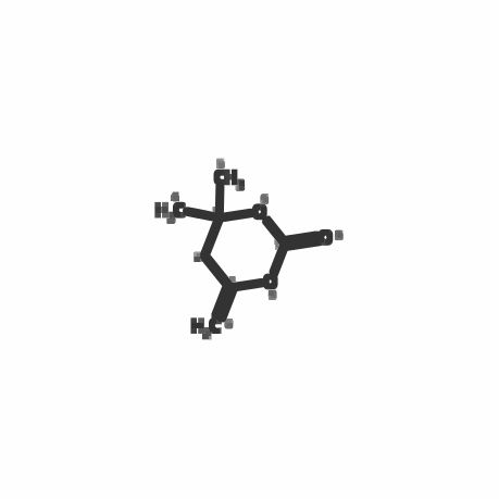 C=C1CC(C)(C)OC(=O)O1